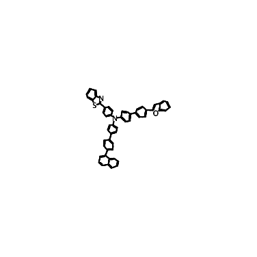 c1ccc2oc(-c3ccc(-c4ccc(N(c5ccc(-c6ccc(-c7cccc8ccccc78)cc6)cc5)c5ccc(-c6nc7ccccc7s6)cc5)cc4)cc3)cc2c1